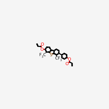 C=CC(=O)Oc1ccc(-c2ccc3c(sc4c(C(F)(F)F)c(OC(=O)C=C)ccc43)c2C(F)(F)F)cc1